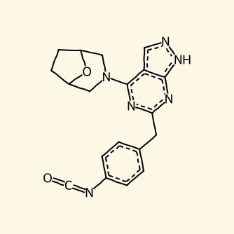 O=C=Nc1ccc(Cc2nc(N3CC4CCC(C3)O4)c3cn[nH]c3n2)cc1